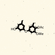 COc1cc(Oc2cc(C)cc(O)c2)cc(C)c1OC(C)=O